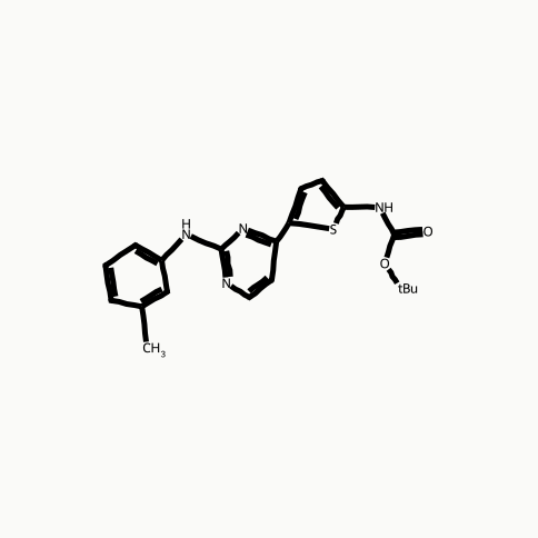 Cc1cccc(Nc2nccc(-c3ccc(NC(=O)OC(C)(C)C)s3)n2)c1